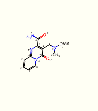 CON(C)Cc1c(C(N)=O)nc2ccccn2c1=O